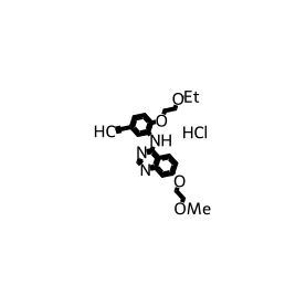 C#Cc1ccc(OCCOCC)c(Nc2ncnc3cc(OCCOC)ccc23)c1.Cl